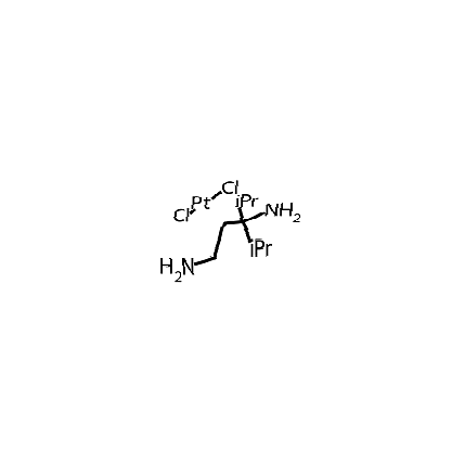 CC(C)C(N)(CCN)C(C)C.[Cl][Pt][Cl]